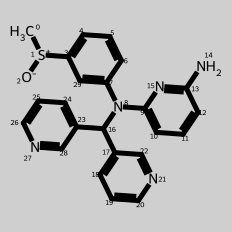 C[S+]([O-])c1cccc(N(c2cccc(N)n2)C(c2cccnc2)c2cccnc2)c1